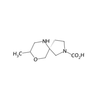 CC1CN[C@]2(CCN(C(=O)O)C2)CO1